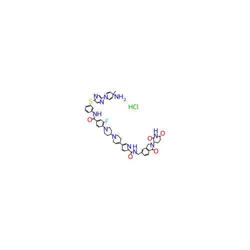 CC1(N)C=CN(c2cnc(Sc3cccc(NC(=O)c4ccc(N5CCC(N6CC=C(c7ccc(C(=O)NCc8ccc9c(c8)CN(C8CCC(=O)NC8=O)C9=O)nc7)CC6)CC5)c(F)c4)c3)cn2)C=C1.Cl